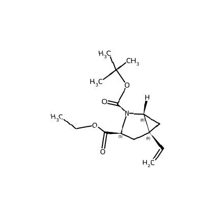 C=C[C@@]12C[C@@H](C(=O)OCC)N(C(=O)OC(C)(C)C)[C@@H]1C2